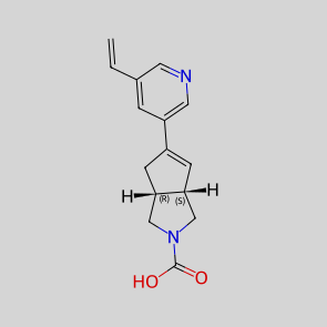 C=Cc1cncc(C2=C[C@@H]3CN(C(=O)O)C[C@@H]3C2)c1